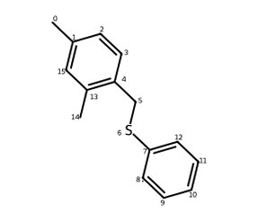 Cc1ccc(CSc2[c]cccc2)c(C)c1